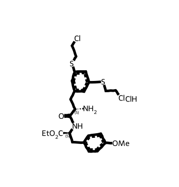 CCOC(=O)[C@H](Cc1ccc(OC)cc1)NC(=O)[C@@H](N)Cc1cc(SCCCl)cc(SCCCl)c1.Cl